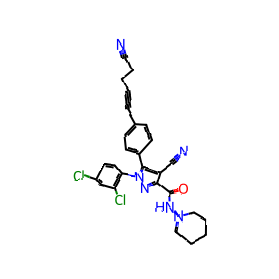 N#CCCC#Cc1ccc(-c2c(C#N)c(C(=O)NN3CCCCC3)nn2-c2ccc(Cl)cc2Cl)cc1